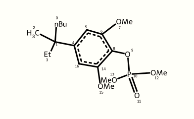 CCCCC(C)(CC)c1cc(OC)c(OP(=O)(OC)OC)c(OC)c1